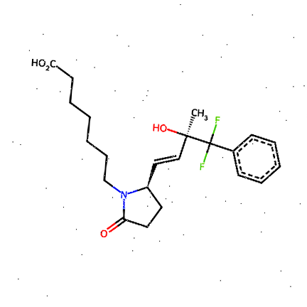 C[C@@](O)(C=C[C@H]1CCC(=O)N1CCCCCCC(=O)O)C(F)(F)c1ccccc1